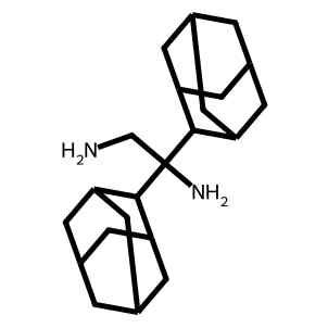 NCC(N)(C1C2CC3CC(C2)CC1C3)C1C2CC3CC(C2)CC1C3